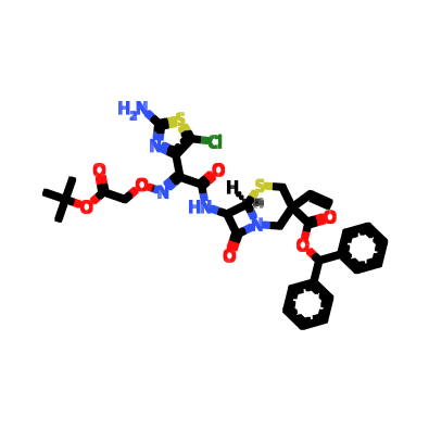 C=CC1(C(=O)OC(c2ccccc2)c2ccccc2)CS[C@@H]2C(NC(=O)C(=NOCC(=O)OC(C)(C)C)c3nc(N)sc3Cl)C(=O)N2C1